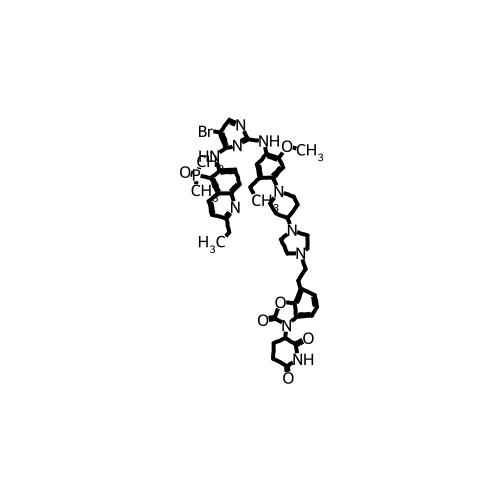 CCc1ccc2c(P(C)(C)=O)c(Nc3nc(Nc4cc(CC)c(N5CCC(N6CCN(CCc7cccc8c7oc(=O)n8C7CCC(=O)NC7=O)CC6)CC5)cc4OC)ncc3Br)ccc2n1